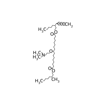 C=C=C=C=CC(CCCCC)CCOC(=O)CCCCCCCC(CCCCCCCC(=O)OCCC(C)CCCCC)OCCCN(CC)CC